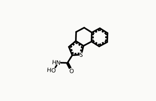 O=C(NO)c1cc2c(s1)-c1ccccc1CC2